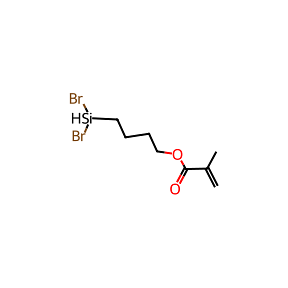 C=C(C)C(=O)OCCCC[SiH](Br)Br